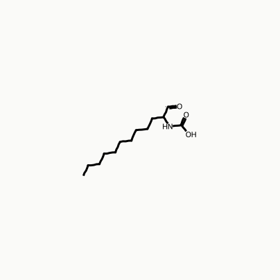 CCCCCCCCCCC([C]=O)NC(=O)O